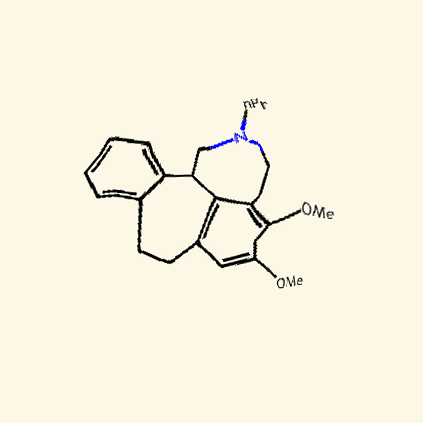 CCCN1Cc2c(OC)c(OC)cc3c2C(C1)c1ccccc1CC3